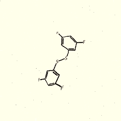 Fc1cc(F)cc(SSc2cc(F)cc(F)c2)c1